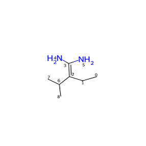 CCC(=C(N)N)C(C)C